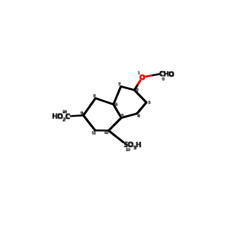 O=COC1CCC2C(C1)CC(C(=O)O)CC2S(=O)(=O)O